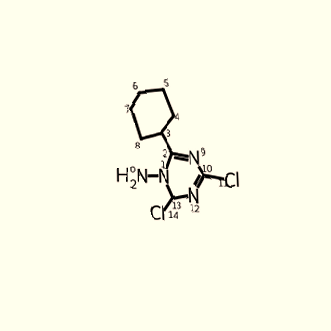 NN1C(C2CCCCC2)=NC(Cl)=NC1Cl